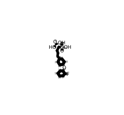 O=P(O)(O)C(CCCc1ccc(Oc2ccccc2F)cc1)S(=O)(=O)O